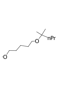 CCCC(C)(C)OCCCCC[O]